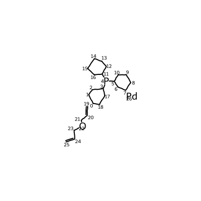 C1CCC(P(C2CCCCC2)C2CCCCC2)CC1.C=CCOCC=C.[Pd]